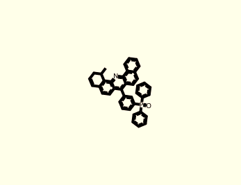 CC1CC=Cc2ccc3c(-c4cccc(P(=O)(c5ccccc5)c5ccccc5)c4)c4ccc5ccccc5c4nc3c21